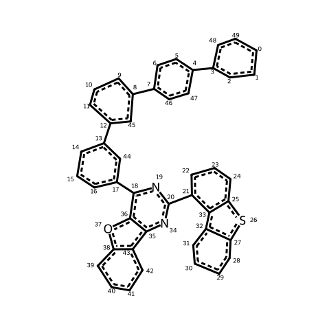 c1ccc(-c2ccc(-c3cccc(-c4cccc(-c5nc(-c6cccc7sc8ccccc8c67)nc6c5oc5ccccc56)c4)c3)cc2)cc1